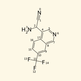 N#CC(N)c1cncc2cc(C(F)(F)F)ccc12